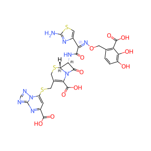 Nc1nc(/C(=N/OCc2ccc(O)c(O)c2C(=O)O)C(=O)N[C@@H]2C(=O)N3C(C(=O)O)=C(CSc4cc(C(=O)O)nc5ncnn45)CS[C@H]23)cs1